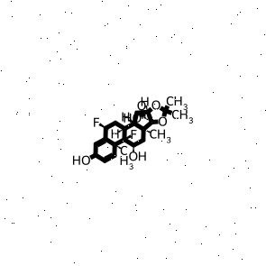 CC1(C)O[C@@H]2C[C@H]3[C@@H]4C[C@H](F)C5=CC(O)C=C[C@]5(C)[C@@]4(F)[C@@H](O)C[C@]3(C)[C@]2(C(=O)O)O1